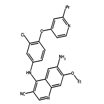 CCOc1cc2ncc(C#N)c(Nc3ccc(Oc4ccnc(C(C)C)c4)c(Cl)c3)c2cc1N